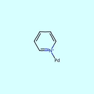 [Pd][n+]1ccccc1